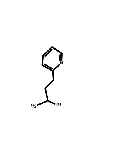 SC(S)CCc1ccccn1